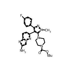 Cn1nc(-c2ccc(F)cc2)c(-c2ccc3nc(N)cn3n2)c1N1CCN(C(=O)OC(C)(C)C)CC1